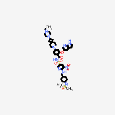 CCN1CCN(C2CC3(CCN(c4ccc(C(=O)NS(=O)(=O)c5cnc(NCC6CCC(N=S(C)(C)=O)CC6)c([N+](=O)[O-])c5)c(Oc5cnc6[nH]ccc6c5)c4)CC3)C2)CC1